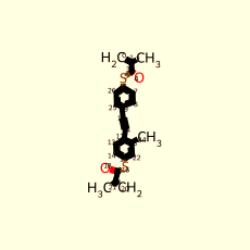 C=C(C)C(=O)Sc1ccc(C#Cc2ccc(SC(=O)C(=C)C)cc2C)cc1